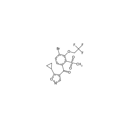 CS(=O)(=O)c1c(C(=O)c2cnoc2C2CC2)ccc(Br)c1OCC(F)(F)F